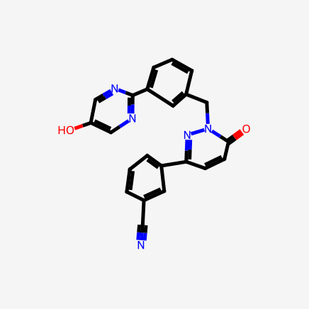 N#Cc1cccc(-c2ccc(=O)n(Cc3cccc(-c4ncc(O)cn4)c3)n2)c1